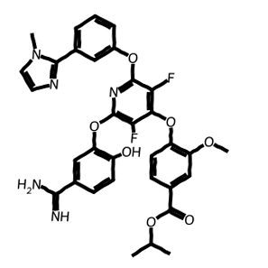 COc1cc(C(=O)OC(C)C)ccc1Oc1c(F)c(Oc2cccc(-c3nccn3C)c2)nc(Oc2cc(C(=N)N)ccc2O)c1F